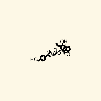 C=C[C@]1(C)C[C@@H](OC(=O)Cn2cc(-c3ccc(CO)cc3)nn2)[C@]2(C)[C@H](C)CC[C@]3(CCC(=O)[C@H]32)[C@@H](C)[C@@H]1O